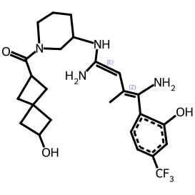 CC(/C=C(\N)NC1CCCN(C(=O)C2CC3(CC(O)C3)C2)C1)=C(/N)c1ccc(C(F)(F)F)cc1O